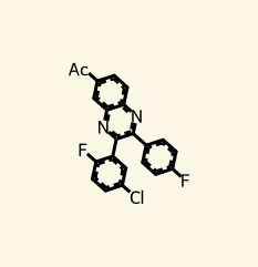 CC(=O)c1ccc2nc(-c3ccc(F)cc3)c(-c3cc(Cl)ccc3F)nc2c1